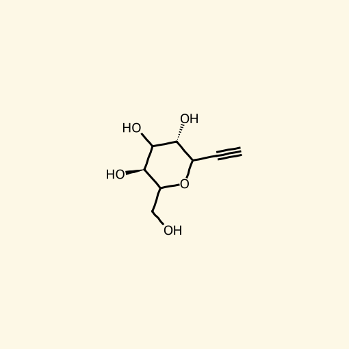 C#CC1OC(CO)[C@@H](O)C(O)[C@@H]1O